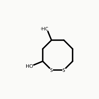 [CH]C1CCCSSC(O)C1